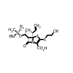 C=CC[C@]12SC(SCCC#N)=C(C(=O)O)N1C(=O)[C@@H]2[C@@H](C)O[Si](C)(C)C(C)(C)C